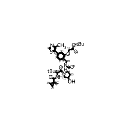 Cc1ncsc1-c1ccc(CNC(=O)[C@@H]2C[C@@H](O)CN2C(=O)C(NC(=O)C2(F)CC2)C(C)(C)C)c(OCC(=O)OC(C)(C)C)c1